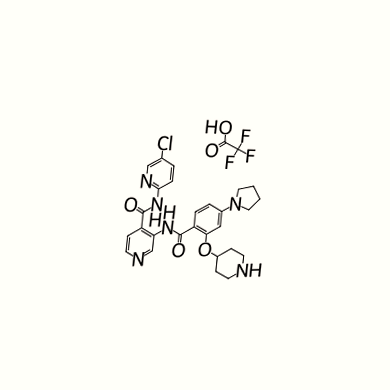 O=C(Nc1ccc(Cl)cn1)c1ccncc1NC(=O)c1ccc(N2CCCC2)cc1OC1CCNCC1.O=C(O)C(F)(F)F